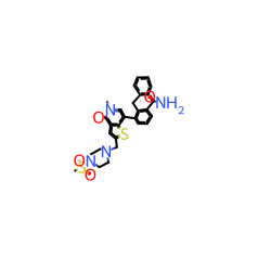 Cn1cc(-c2cccc(C(N)=O)c2Cc2ccccc2)c2sc(CN3CCN(S(C)(=O)=O)CC3)cc2c1=O